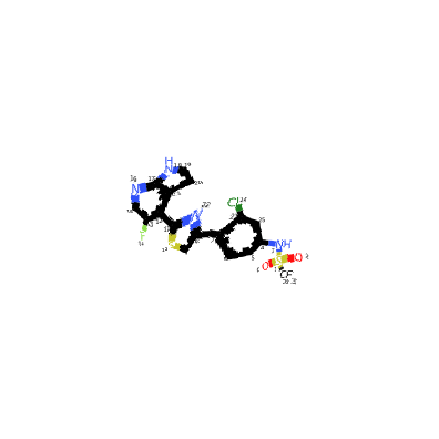 O=S(=O)(Nc1ccc(-c2csc(-c3c(F)cnc4[nH]ccc34)n2)c(Cl)c1)C(F)(F)F